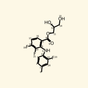 Cc1ccc(Nc2c(C(=O)OCC(O)CO)ccc(F)c2F)c(F)c1